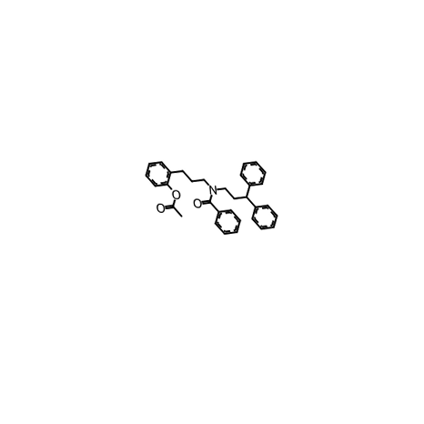 CC(=O)Oc1ccccc1CCCN(CCC(c1ccccc1)c1ccccc1)C(=O)c1ccccc1